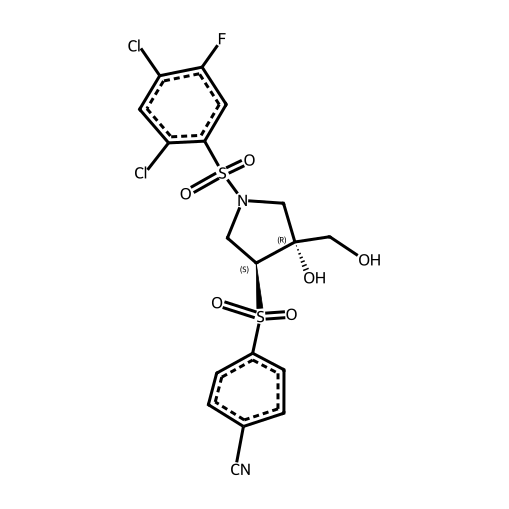 N#Cc1ccc(S(=O)(=O)[C@H]2CN(S(=O)(=O)c3cc(F)c(Cl)cc3Cl)C[C@@]2(O)CO)cc1